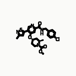 COC(=O)N1CC[C@H](Oc2cc(C(=O)NCc3ccc(Cl)cc3)ncc2-c2cc(C)ns2)C[C@H]1C